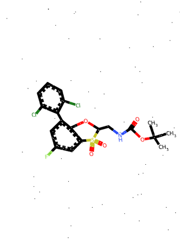 CC(C)(C)OC(=O)NCC1Oc2c(-c3c(Cl)cccc3Cl)cc(F)cc2S1(=O)=O